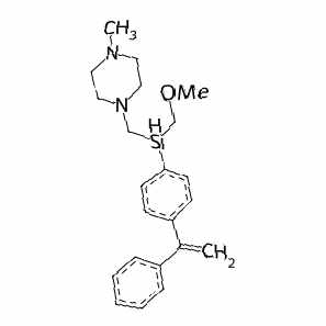 C=C(c1ccccc1)c1ccc([SiH](COC)CN2CCN(C)CC2)cc1